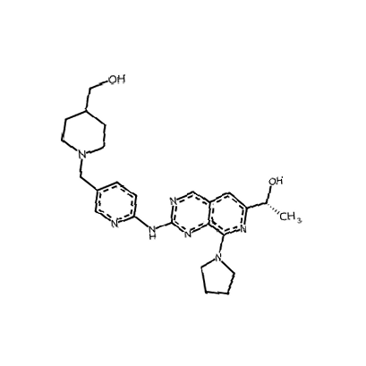 C[C@@H](O)c1cc2cnc(Nc3ccc(CN4CCC(CO)CC4)cn3)nc2c(N2CCCC2)n1